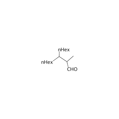 CCCCCCC(CCCCCC)C(C)C=O